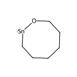 C1CC[CH2][Sn][O]CC1